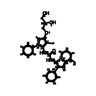 Cc1c(OC[C@H](O)CO)nn(-c2ccccc2)c1NC(=O)Nc1c(-c2ccccc2)nc2c(C)cccn12